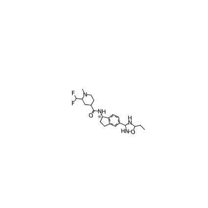 CCC1NC(c2ccc3c(c2)CC[C@H]3NC(=O)C2CCN(C)C(C(F)F)C2)NO1